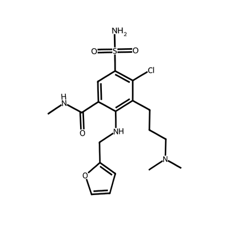 CNC(=O)c1cc(S(N)(=O)=O)c(Cl)c(CCCN(C)C)c1NCc1ccco1